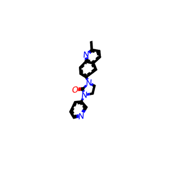 Cc1ccc2cc(N3CCN(c4cccnc4)C3=O)ccc2n1